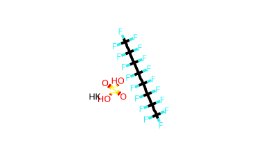 FC(F)(F)C(F)(F)C(F)(F)C(F)(F)C(F)(F)C(F)(F)C(F)(F)C(F)(F)F.O=S(=O)(O)O.[KH]